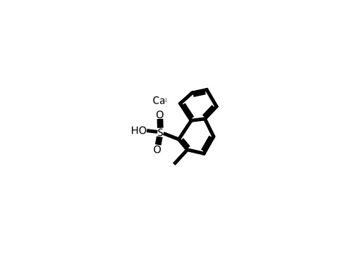 Cc1ccc2ccccc2c1S(=O)(=O)O.[Ca]